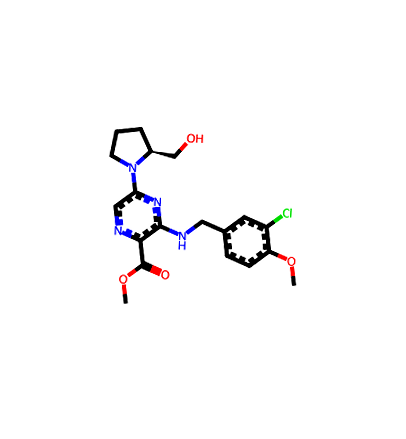 COC(=O)c1ncc(N2CCC[C@H]2CO)nc1NCc1ccc(OC)c(Cl)c1